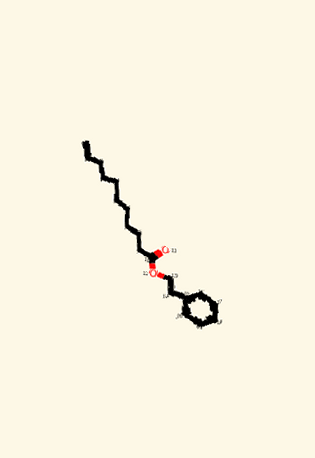 C=CCCCCCCCCC(=O)OCCc1ccccc1